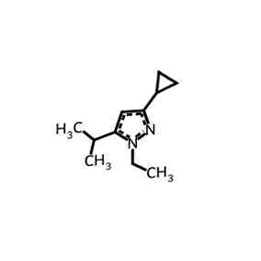 CCn1nc(C2CC2)cc1C(C)C